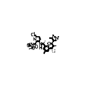 Cc1cc([C@@H](C)Nc2ccc(Cl)nc2C(=O)NS(C)(=O)=O)c2oc(-c3cn(C)nc3C)c(C)c(=O)c2c1